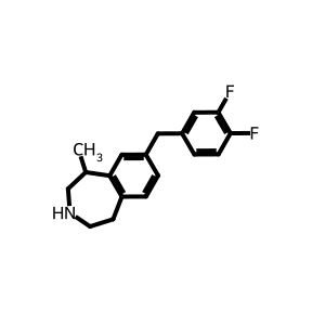 CC1CNCCc2ccc(Cc3ccc(F)c(F)c3)cc21